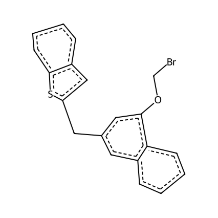 BrCOc1cc(Cc2cc3ccccc3s2)cc2ccccc12